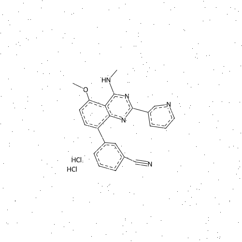 CNc1nc(-c2cccnc2)nc2c(-c3cccc(C#N)c3)ccc(OC)c12.Cl.Cl